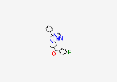 O=C(c1ccc(F)cc1)C1CCN(CC(c2ccccc2)n2ccnn2)CC1